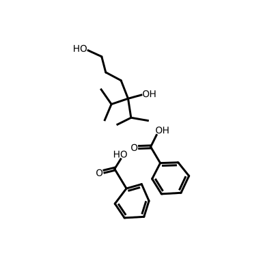 CC(C)C(O)(CCCO)C(C)C.O=C(O)c1ccccc1.O=C(O)c1ccccc1